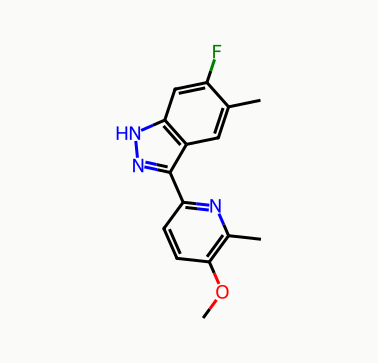 COc1ccc(-c2n[nH]c3cc(F)c(C)cc23)nc1C